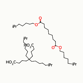 CC(C)CCCCCC(CCCCCC(C)C)(CCCC(=O)O)CCCC(=O)O.CC(C)CCCCCOC(=O)CCCCCCCC(=O)OCCCCCC(C)C